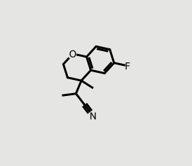 CC(C#N)C1(C)CCOc2ccc(F)cc21